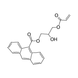 C=CC(=O)OCC(O)COC(=O)c1c2ccccc2cc2ccccc12